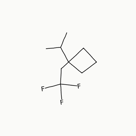 CC(C)C1(CC(F)(F)F)CCC1